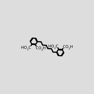 O=C(O)c1cccc(CCCCCCc2cccc(C(=O)O)c2C(=O)O)c1C(=O)O